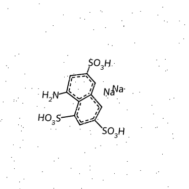 Nc1cc(S(=O)(=O)O)cc2cc(S(=O)(=O)O)cc(S(=O)(=O)O)c12.[Na].[Na]